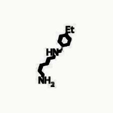 CCC1=CC[C@H](CNC/C=C/C=C\CN)C=C1